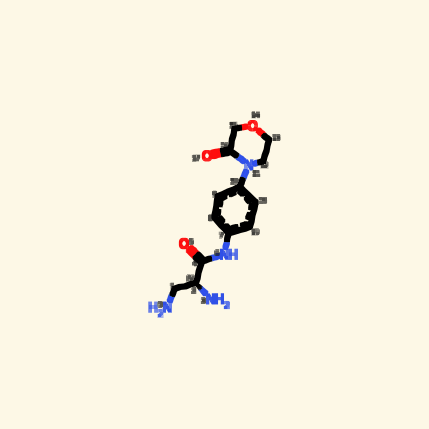 NC[C@H](N)C(=O)Nc1ccc(N2CCOCC2=O)cc1